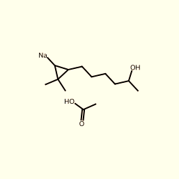 CC(=O)O.CC(O)CCCCC1[CH]([Na])C1(C)C